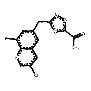 NC(=O)c1nnc(Cc2cc(F)c3ncc(Cl)cc3c2)o1